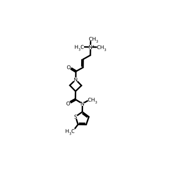 Cc1ccc(N(C)C(=O)C2CN(C(=O)/C=C/C[N+](C)(C)C)C2)s1